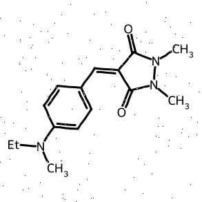 CCN(C)c1ccc(C=C2C(=O)N(C)N(C)C2=O)cc1